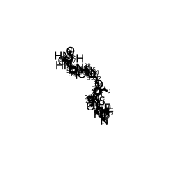 CCc1cc(N2C(=S)N(c3cnc(C#N)c(C(F)(F)F)c3)C(=O)C23CCC3)ccc1OCCC1CCN([C@H](C)C(=O)Nc2cc(NC3CCC(=O)NC3=O)ccc2F)CC1